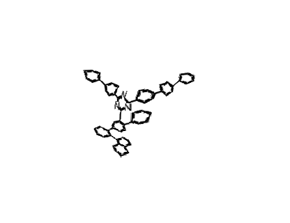 c1ccc(-c2ccc(-c3ccc(-c4nc(-c5ccc(-c6ccccc6)cc5)nc(-c5cc(-c6ccccc6-c6cccc7ccccc67)ccc5-c5ccccc5)n4)cc3)cc2)cc1